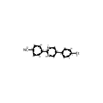 CCc1ccc(-c2cnc(-c3ccc(C#N)cc3)nc2)cc1